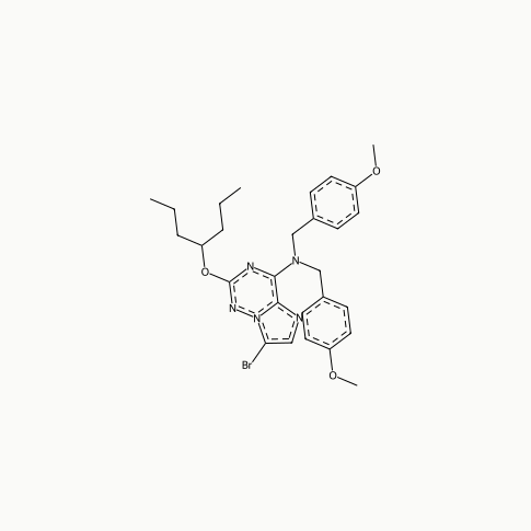 CCCC(CCC)Oc1nc(N(Cc2ccc(OC)cc2)Cc2ccc(OC)cc2)c2ncc(Br)n2n1